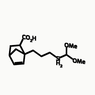 COC(OC)[SiH2]CCCC12C=CC(CC1C(=O)O)C2